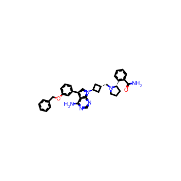 NC(=O)c1ccccc1[C@@H]1CCCN1C[C@H]1C[C@H](n2cc(-c3cccc(OCc4ccccc4)c3)c3c(N)ncnc32)C1